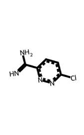 N=C(N)c1ccc(Cl)nn1